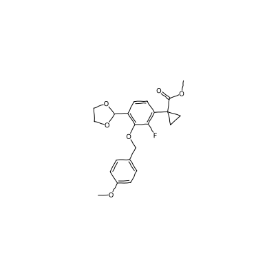 COC(=O)C1(c2ccc(C3OCCO3)c(OCc3ccc(OC)cc3)c2F)CC1